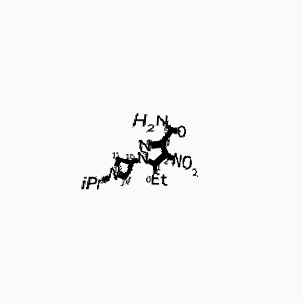 CCc1c([N+](=O)[O-])c(C(N)=O)nn1C1CN(C(C)C)C1